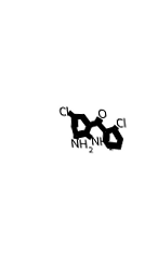 Nc1cc(Cl)cc(C(=O)c2ccccc2Cl)c1N